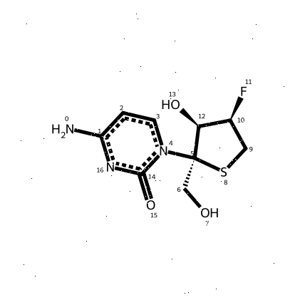 Nc1ccn([C@]2(CO)SC[C@H](F)[C@@H]2O)c(=O)n1